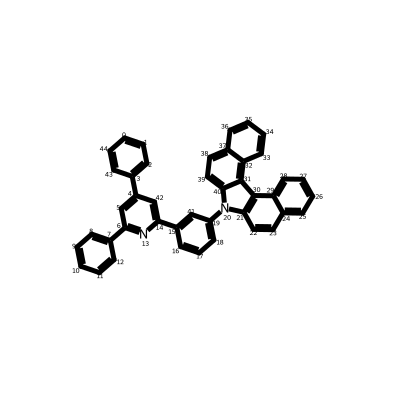 c1ccc(-c2cc(-c3ccccc3)nc(-c3cccc(-n4c5ccc6ccccc6c5c5c6ccccc6ccc54)c3)c2)cc1